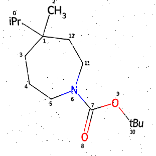 CC(C)C1(C)CCCN(C(=O)OC(C)(C)C)CC1